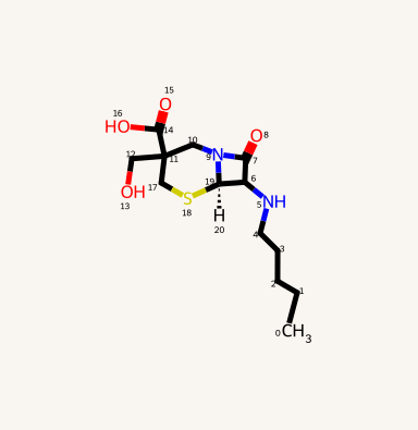 CCCCCNC1C(=O)N2CC(CO)(C(=O)O)CS[C@H]12